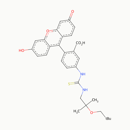 CC(C)(C)COC(C)(C)CNC(=S)Nc1ccc(-c2c3ccc(=O)cc-3oc3cc(O)ccc23)c(C(=O)O)c1